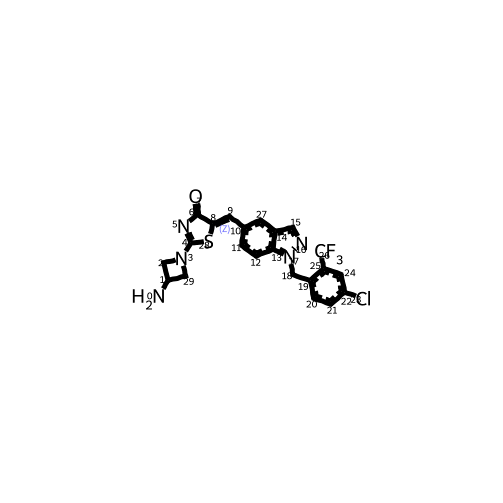 NC1CN(C2=NC(=O)/C(=C/c3ccc4c(cnn4Cc4ccc(Cl)cc4C(F)(F)F)c3)S2)C1